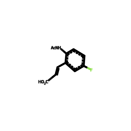 CC(=O)Nc1ccc(F)cc1C=CC(=O)O